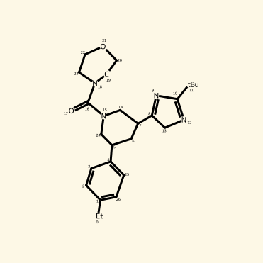 CCc1ccc(C2CC(C3=NC(C(C)(C)C)=NC3)CN(C(=O)N3CCOCC3)C2)cc1